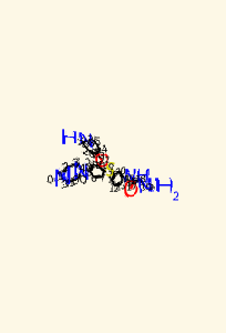 CN1CCN(c2ccc(Sc3cccc(NC(=O)CN)c3)c(OC3CCNCC3)c2)CC1